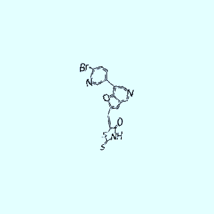 O=C1NC(=S)S/C1=C/c1cc2cncc(-c3ccc(Br)nc3)c2o1